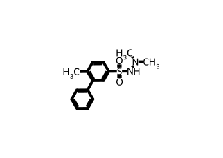 Cc1ccc(S(=O)(=O)NN(C)C)cc1-c1ccccc1